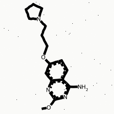 COc1nc(N)c2ccc(OCCCN3CCCC3)cc2n1